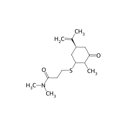 C=C(C)[C@H]1CC(=O)C(C)C(SCCC(=O)N(C)C)C1